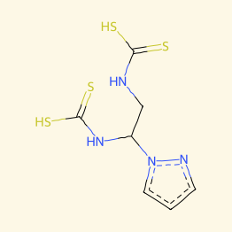 S=C(S)NCC(NC(=S)S)n1cccn1